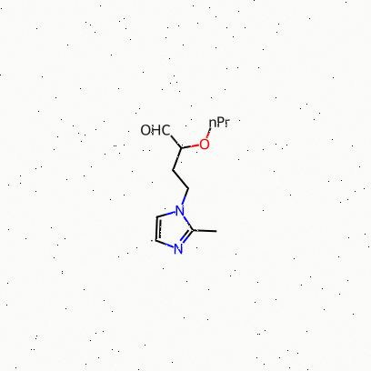 CCCOC(C=O)CCn1c[c]nc1C